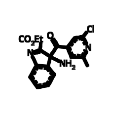 CCOC(=O)C1=Nc2ccccc2C1(N)C(=O)c1cc(C)nc(Cl)c1